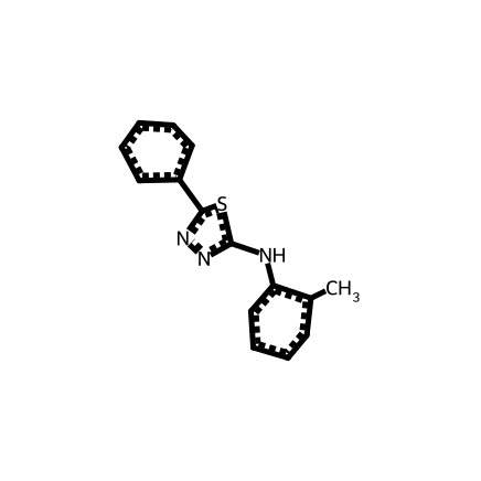 Cc1ccccc1Nc1nnc(-c2ccccc2)s1